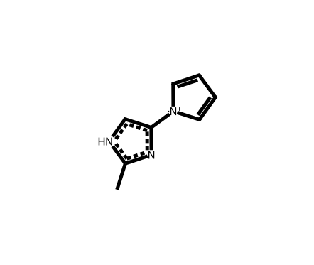 Cc1nc([N+]2C=CC=C2)c[nH]1